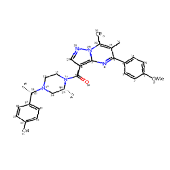 COc1ccc(-c2nc3c(C(=O)N4CCN([C@@H](C)c5ccc(C#N)cc5)C[C@H]4C)cnn3c(C(F)(F)F)c2C)cc1